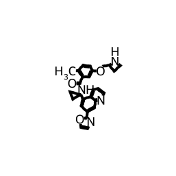 Cc1ccc(OCC2CCN2)cc1C(=O)NC1(c2cc(-c3ncco3)cc3ncccc23)CC1